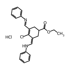 CCOC(=O)C1CC(=CNc2ccccc2)C(Cl)=C(C=Nc2ccccc2)C1.Cl